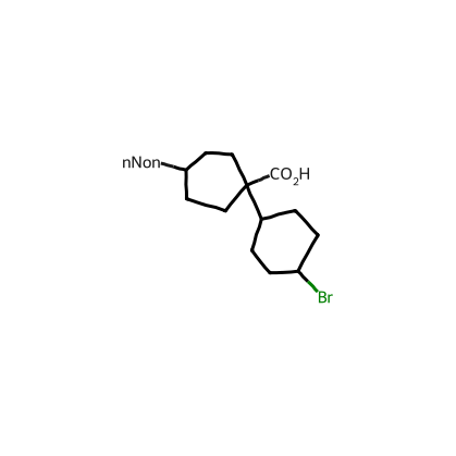 CCCCCCCCCC1CCC(C(=O)O)(C2CCC(Br)CC2)CC1